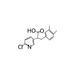 Cc1ccc(CC(C(=O)O)c2ccc(Cl)nc2)cc1C